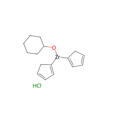 C1=CC[C]([Zr]([O]C2CCCCC2)[C]2=CC=CC2)=C1.Cl